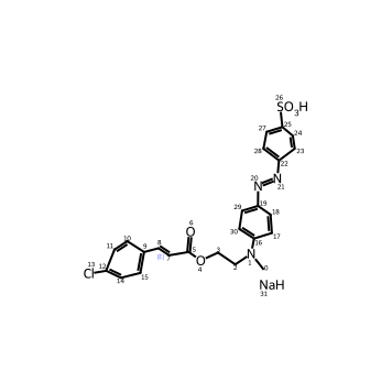 CN(CCOC(=O)/C=C/c1ccc(Cl)cc1)c1ccc(N=Nc2ccc(S(=O)(=O)O)cc2)cc1.[NaH]